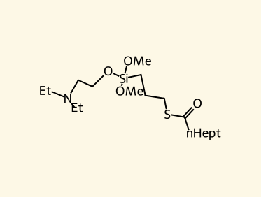 CCCCCCCC(=O)SCCC[Si](OC)(OC)OCCN(CC)CC